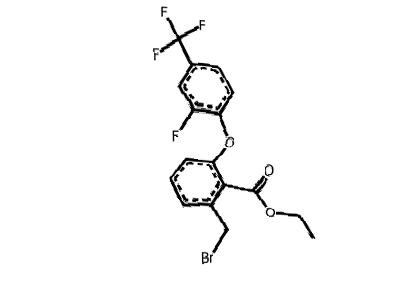 CCOC(=O)c1c(CBr)cccc1Oc1ccc(C(F)(F)F)cc1F